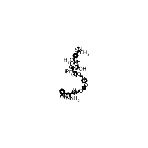 Cc1ncsc1-c1ccc([C@H](C)NC(=O)[C@@H]2C[C@@H](O)CN2C(=O)[C@@H](c2cc(OCCN3CCC(O[C@H]4C[C@H](OCCn5cc(-c6cc(-c7ccccc7O)nnc6N)cn5)C4)CC3)no2)C(C)C)cc1